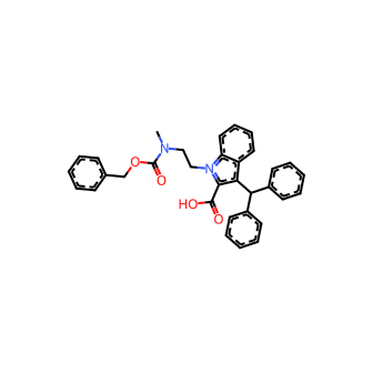 CN(CCn1c(C(=O)O)c(C(c2ccccc2)c2ccccc2)c2ccccc21)C(=O)OCc1ccccc1